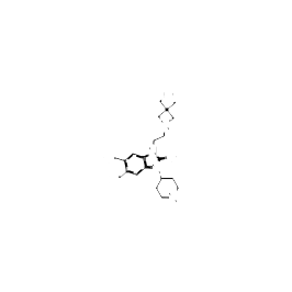 O=c1n(CCN2CC3(COC3)C2)c2cc(Cl)c(Cl)cc2n1C1CCNCC1